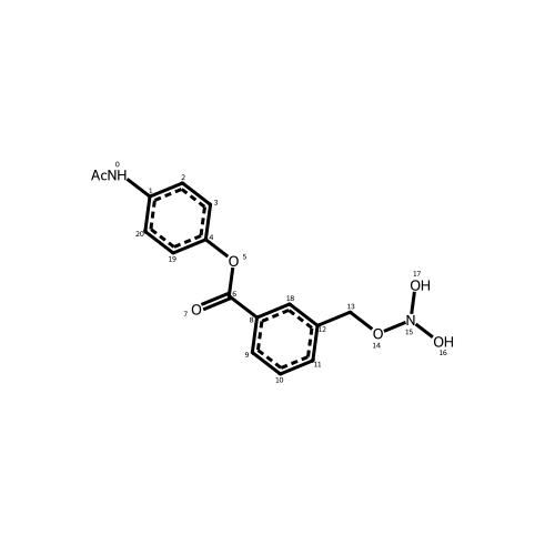 CC(=O)Nc1ccc(OC(=O)c2cccc(CON(O)O)c2)cc1